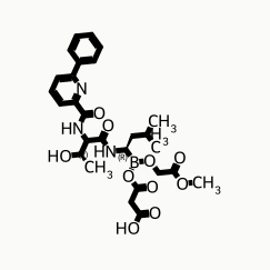 COC(=O)COB(OC(=O)CC(=O)O)[C@H](CC(C)C)NC(=O)C(NC(=O)c1cccc(-c2ccccc2)n1)[C@@H](C)O